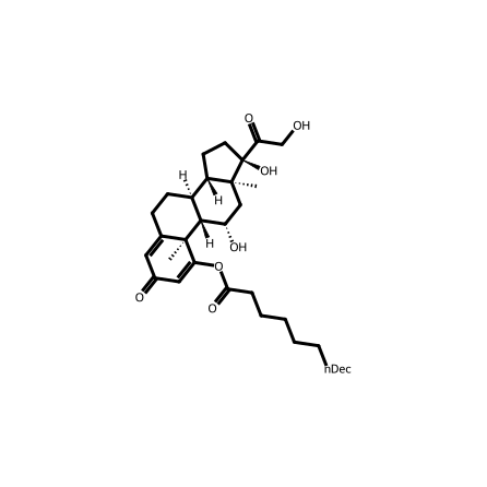 CCCCCCCCCCCCCCCC(=O)OC1=CC(=O)C=C2CC[C@@H]3[C@H]([C@@H](O)C[C@@]4(C)[C@H]3CC[C@]4(O)C(=O)CO)[C@]21C